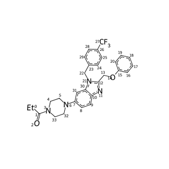 CCC(=O)N1CCN(c2ccc3nc(COc4ccccc4)n(Cc4ccc(C(F)(F)F)cc4)c3c2)CC1